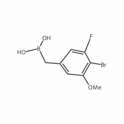 COc1cc(CB(O)O)cc(F)c1Br